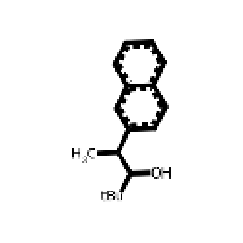 CC(c1ccc2ccccc2c1)C(O)C(C)(C)C